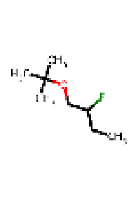 CCC(F)COC(C)(C)C